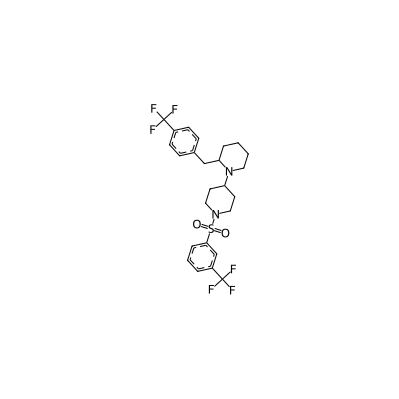 O=S(=O)(c1cccc(C(F)(F)F)c1)N1CCC(N2CCCCC2Cc2ccc(C(F)(F)F)cc2)CC1